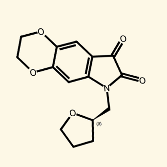 O=C1C(=O)N(C[C@H]2CCCO2)c2cc3c(cc21)OCCO3